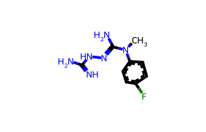 CN(C(N)=NNC(=N)N)c1ccc(F)cc1